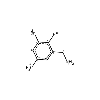 NCc1cc(C(F)(F)F)cc(Br)c1F